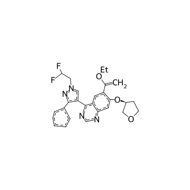 C=C(OCC)c1cc2c(-c3cn(CC(F)F)nc3-c3ccccc3)ncnc2cc1O[C@H]1CCOC1